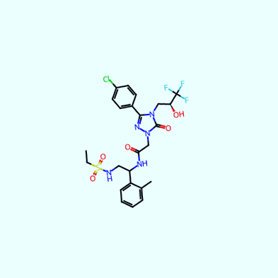 CCS(=O)(=O)NCC(NC(=O)Cn1nc(-c2ccc(Cl)cc2)n(C[C@H](O)C(F)(F)F)c1=O)c1ccccc1C